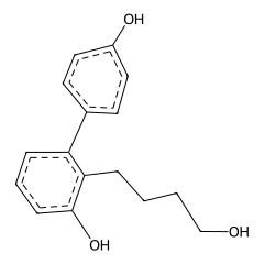 OCCCCc1c(O)cccc1-c1ccc(O)cc1